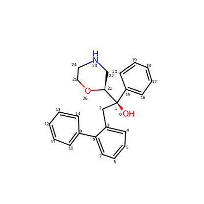 O[C@](Cc1ccccc1-c1ccccc1)(c1ccccc1)[C@@H]1CNCCO1